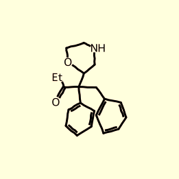 CCC(=O)C(Cc1ccccc1)(c1ccccc1)C1CNCCO1